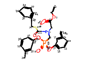 CCOC(=O)CN(CP(=O)(Oc1cccc(C)c1)Oc1cccc(C)c1)C(=O)SCc1ccccc1